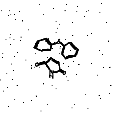 O=C1C=CC(=O)N1.c1ccc(Sc2ccccc2)cc1